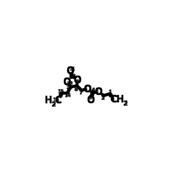 C=CCOC(=O)OCC1OC(=O)OC1CC=C